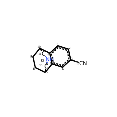 N#Cc1ccc2c(c1)C1CCC2CNC1